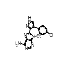 CCn1c(-c2n[nH]cc2-c2ccc(Cl)cc2)nc2c(N)n[c]nc21